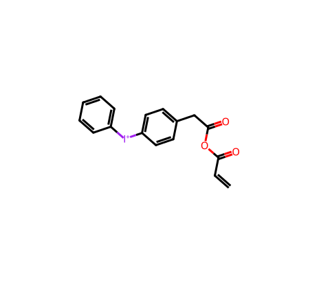 C=CC(=O)OC(=O)Cc1ccc([I+]c2ccccc2)cc1